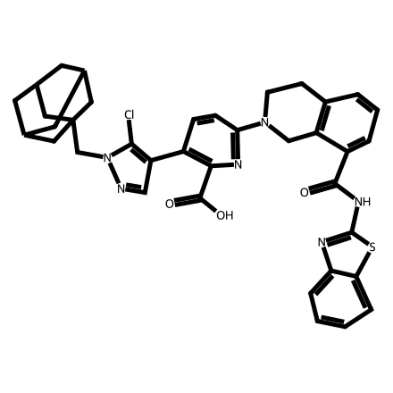 O=C(Nc1nc2ccccc2s1)c1cccc2c1CN(c1ccc(-c3cnn(CC45CC6CC(CC(C6)C4)C5)c3Cl)c(C(=O)O)n1)CC2